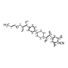 C/C=C/OC/C(F)=C(\F)c1ccc(C2CCC(/C(F)=C(\F)c3cc(F)c(C#N)c(F)c3)CC2)cc1